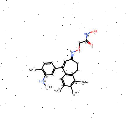 COc1ccc(C2=CC(=NOCC(=O)NO)CCc3c2cc(OC)c(OC)c3OC)cc1NC(=O)O